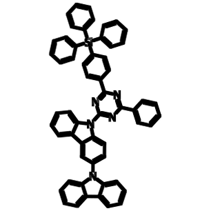 c1ccc(-c2nc(-c3ccc([Si](c4ccccc4)(c4ccccc4)c4ccccc4)cc3)nc(-n3c4ccccc4c4cc(-n5c6ccccc6c6ccccc65)ccc43)n2)cc1